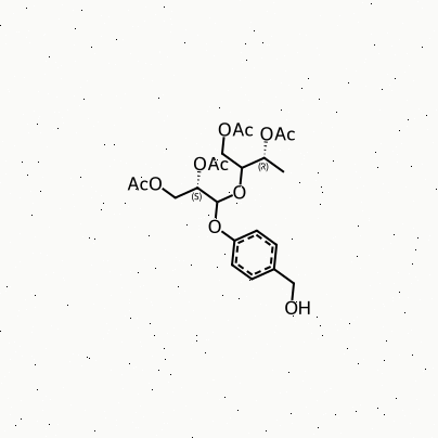 CC(=O)OCC(OC(Oc1ccc(CO)cc1)[C@H](COC(C)=O)OC(C)=O)[C@@H](C)OC(C)=O